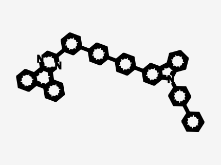 c1ccc(-c2ccc(-n3c4ccccc4c4cc(-c5ccc(-c6ccc(-c7cccc(-c8cnc9c%10ccccc%10c%10ccccc%10c9n8)c7)cc6)cc5)ccc43)cc2)cc1